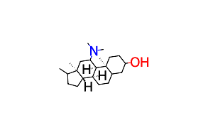 CC1CC[C@H]2[C@@H]3CCC4CC(O)CC[C@]4(C)[C@@H]3C(N(C)C)C[C@]12C